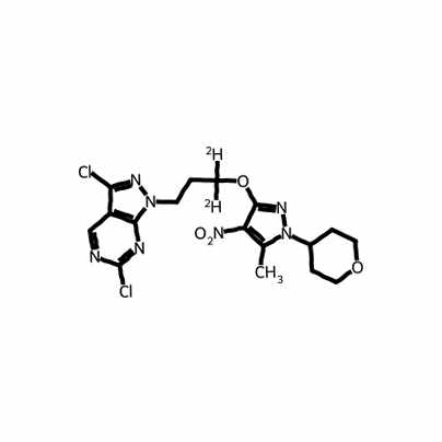 [2H]C([2H])(CCn1nc(Cl)c2cnc(Cl)nc21)Oc1nn(C2CCOCC2)c(C)c1[N+](=O)[O-]